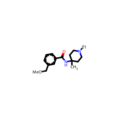 CCN1CCC(C)(NC(=O)c2cccc(COC)c2)CC1